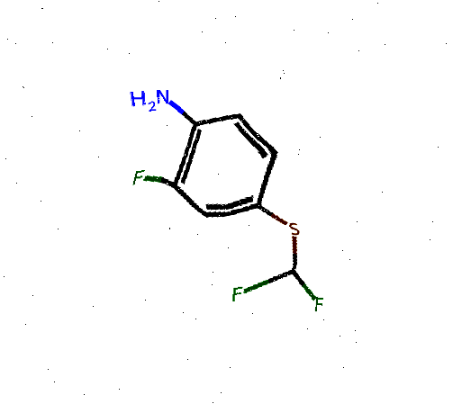 Nc1ccc(SC(F)F)cc1F